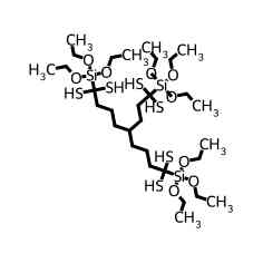 CCO[Si](OCC)(OCC)C(S)(S)CCCC(CCCC(S)(S)[Si](OCC)(OCC)OCC)CCC(S)(S)[Si](OCC)(OCC)OCC